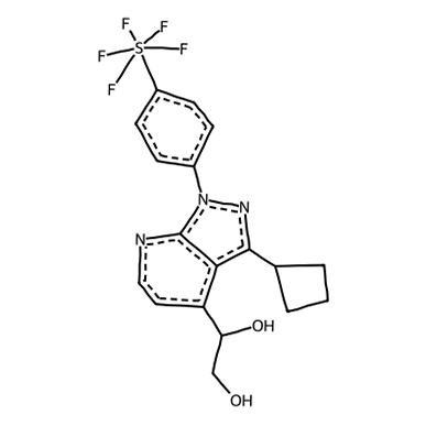 OCC(O)c1ccnc2c1c(C1CCC1)nn2-c1ccc(S(F)(F)(F)(F)F)cc1